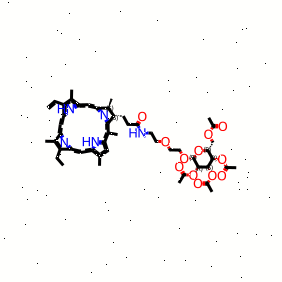 C=Cc1c(C)c2cc3nc(c(C)c4cc(C)c(cc5nc(cc1[nH]2)C(C)=C5CC)[nH]4)[C@@H](CCC(=O)NCCOCCO[C@@H]1O[C@H](COC(C)=O)[C@@H](OC(C)=O)[C@H](OC(C)=O)[C@H]1OC(C)=O)[C@@H]3C